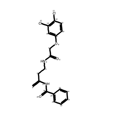 C=C(CCNC(=O)COc1ccc(Cl)c(Cl)c1)NC(=O)c1ccccc1